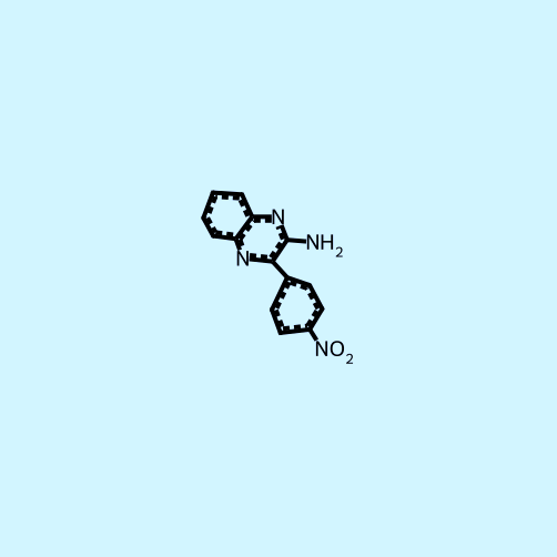 Nc1nc2ccccc2nc1-c1ccc([N+](=O)[O-])cc1